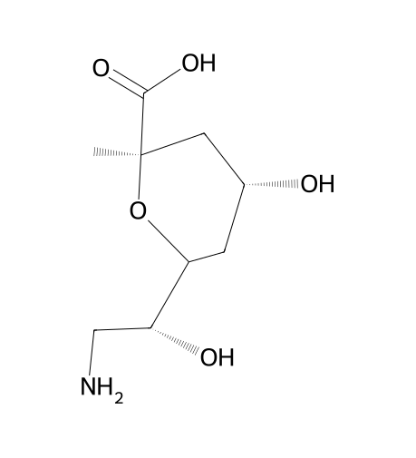 C[C@]1(C(=O)O)C[C@H](O)CC([C@H](O)CN)O1